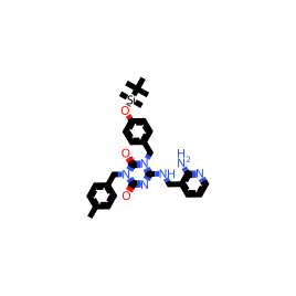 Cc1ccc(Cn2c(=O)nc(NCc3cccnc3N)n(Cc3ccc(O[Si](C)(C)C(C)(C)C)cc3)c2=O)cc1